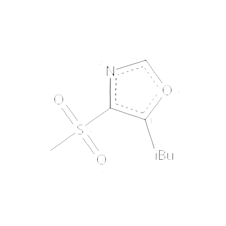 CCC(C)c1ocnc1S(C)(=O)=O